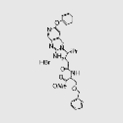 Br.COC(=O)C(COCc1ccccc1)NC(=O)CCC(C(C)C)N1Cc2cc(Oc3ccccc3)ncc2N=C1N